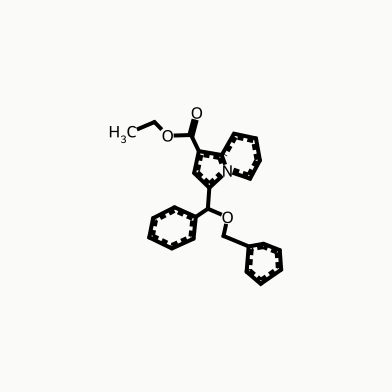 CCOC(=O)c1cc(C(OCc2ccccc2)c2ccccc2)n2ccccc12